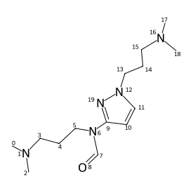 CN(C)CCCN(C=O)c1ccn(CCCN(C)C)n1